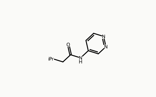 CC(C)CC(=O)Nc1ccnnc1